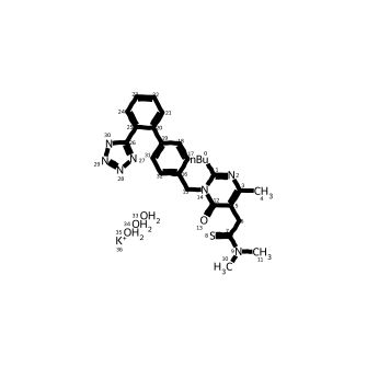 CCCCc1nc(C)c(CC(=S)N(C)C)c(=O)n1Cc1ccc(-c2ccccc2-c2nnn[n-]2)cc1.O.O.O.[K+]